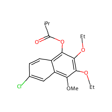 CCOc1c(OCC)c(OC(=O)C(C)C)c2ccc(Cl)cc2c1OC